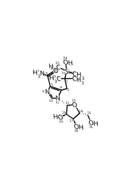 CC(C)(Cc1c(C(N)=O)ncn1[C@@H]1O[C@H](CO)[C@@H](O)[C@H]1O)[Si](C)(C)O